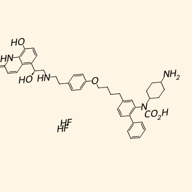 F.F.NC1CCC(N(C(=O)O)c2cc(CCCCOc3ccc(CCNC[C@@H](O)c4ccc(O)c5[nH]c(=O)ccc45)cc3)ccc2-c2ccccc2)CC1